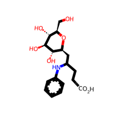 O=C(O)CCC(C[C@@H]1O[C@H](CO)[C@@H](O)[C@H](O)[C@H]1O)Nc1ccccc1